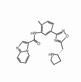 Cc1ccc(-c2noc(C[C@@H]3CCCN3)n2)cc1NC(=O)c1cnc2ccccn12